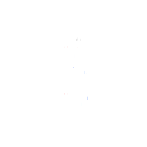 Cc1ccc2c(c1)C([C@](C)(O)c1cncn1C)=Cc1cccnc1[C@H]2N1CCN(C(=O)OC(C)C)CC1